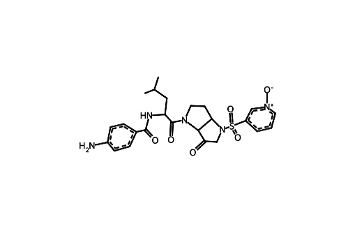 CC(C)CC(NC(=O)c1ccc(N)cc1)C(=O)N1CCC2C1C(=O)CN2S(=O)(=O)c1ccc[n+]([O-])c1